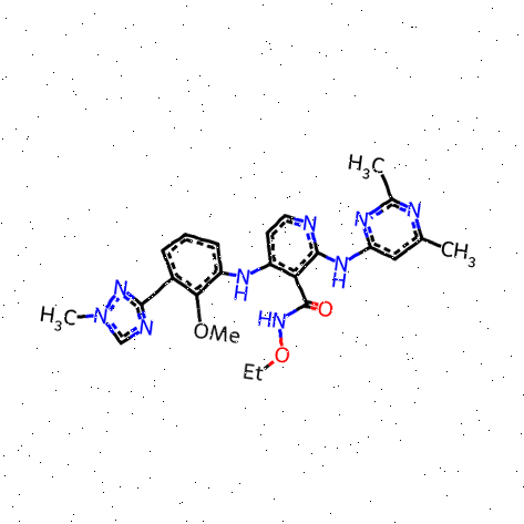 CCONC(=O)c1c(Nc2cccc(-c3ncn(C)n3)c2OC)ccnc1Nc1cc(C)nc(C)n1